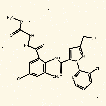 COC(=O)NNC(=O)c1cc(Cl)cc(C)c1NC(=O)c1cc(CS)nn1-c1ncccc1Cl